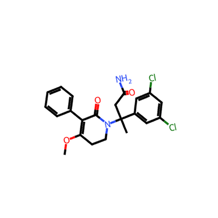 COC1=C(c2ccccc2)C(=O)N(C(C)(CC(N)=O)c2cc(Cl)cc(Cl)c2)CC1